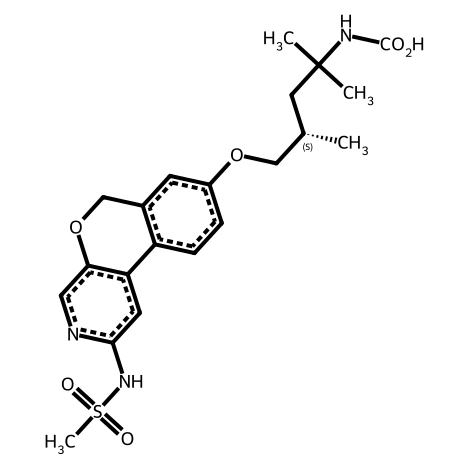 C[C@H](COc1ccc2c(c1)COc1cnc(NS(C)(=O)=O)cc1-2)CC(C)(C)NC(=O)O